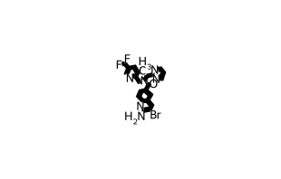 CC(c1ncccn1)N(Cc1ccc(C(F)F)cn1)C(=O)c1ccc2nc(N)c(Br)cc2c1